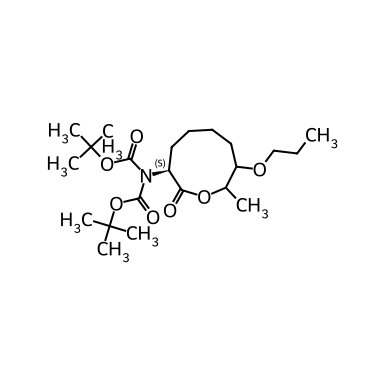 CCCOC1CCCC[C@H](N(C(=O)OC(C)(C)C)C(=O)OC(C)(C)C)C(=O)OC1C